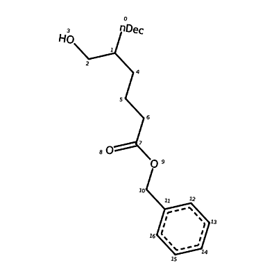 CCCCCCCCCCC(CO)CCCC(=O)OCc1ccccc1